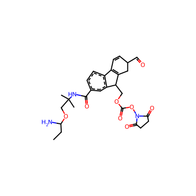 CCC(N)OCC(C)(C)NC(=O)c1ccc2c(c1)C(COC(=O)ON1C(=O)CCC1=O)C1=C2C=CC(C=O)C1